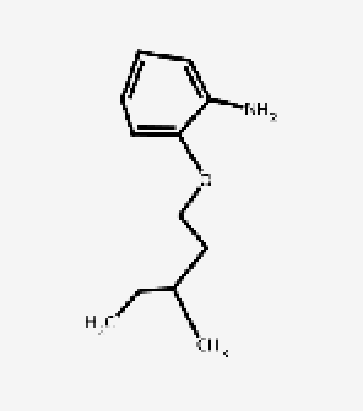 CCC(C)CCOc1ccccc1N